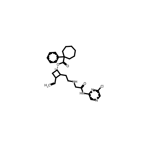 C=CC1C[C@H](OC(=O)C2(c3ccccc3)CCCCCC2)C1CCNCC(=O)Nc1cncc(Cl)n1